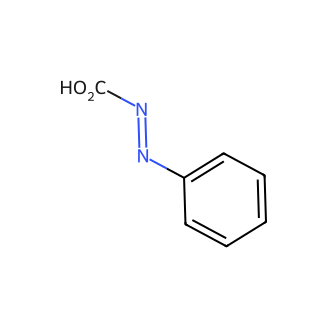 O=C(O)N=Nc1ccccc1